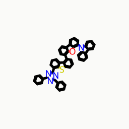 C1=c2c(sc3cccc(-c4cccc5c4oc4c(-n6c7ccccc7c7ccccc76)cccc45)c23)=C(c2nc(-c3ccccc3)nc(-c3ccccc3)n2)CC1